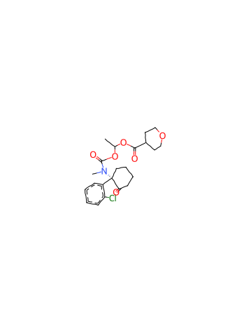 CC(OC(=O)C1CCOCC1)OC(=O)N(C)[C@]1(c2ccccc2Cl)CCCCC1=O